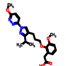 COc1ccc(-n2cc(CCCOc3c(CC(=O)O)cccc3OC)c(C(C)C)n2)nn1